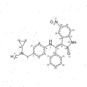 CN(Cc1ccc(NC(=C2C(=O)Nc3ccc([N+](=O)[O-])cc32)c2ccccc2)cc1)C1CC1